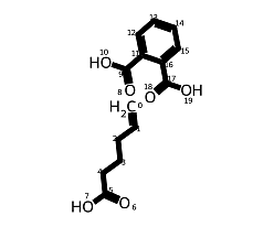 C=CCCCC(=O)O.O=C(O)c1ccccc1C(=O)O